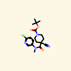 CN(C(=O)C1(C#N)CCN(C(=O)OC(C)(C)C)CC1)c1ccc(Cl)nc1